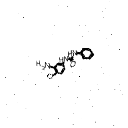 Nc1cc(NC(=O)Nc2ccccc2)ccc1Cl